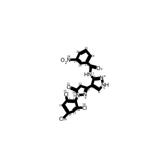 O=C(Nc1n[nH]cc1C1=NN(c2c(Cl)cc(Cl)cc2Cl)C(=O)C1)c1cccc([N+](=O)[O-])c1